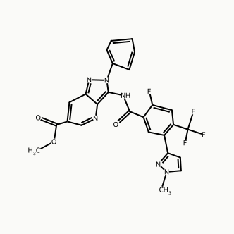 COC(=O)c1cnc2c(NC(=O)c3cc(-c4ccn(C)n4)c(C(F)(F)F)cc3F)n(-c3ccccc3)nc2c1